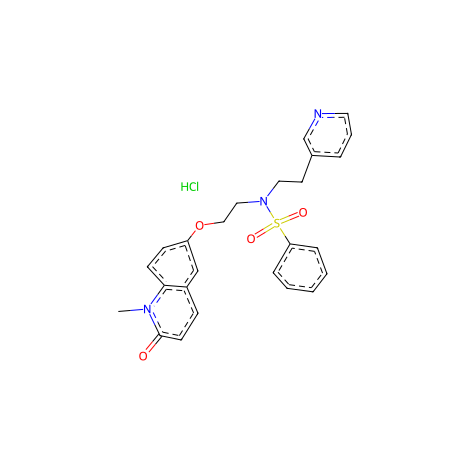 Cl.Cn1c(=O)ccc2cc(OCCN(CCc3cccnc3)S(=O)(=O)c3ccccc3)ccc21